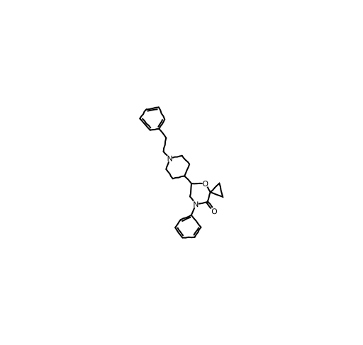 O=C1N(c2ccccc2)CC(C2CCN(CCc3ccccc3)CC2)OC12CC2